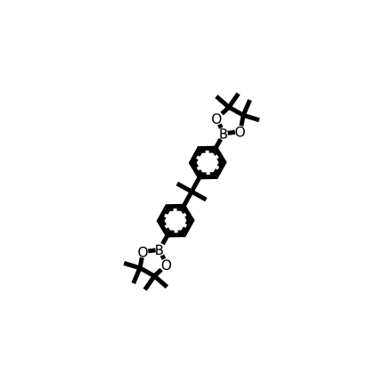 CC(C)(c1ccc(B2OC(C)(C)C(C)(C)O2)cc1)c1ccc(B2OC(C)(C)C(C)(C)O2)cc1